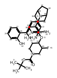 CC(C)(C)OC(=O)N1CCC(Oc2cc(N3C4CCC3CN(C(/C=C(\N)c3ccccc3O)=C(N)N)C4)ccn2)C(F)C1